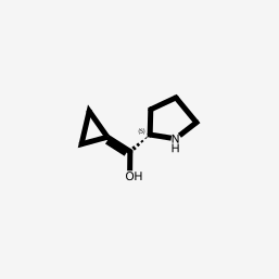 OC(=C1CC1)[C@@H]1CCCN1